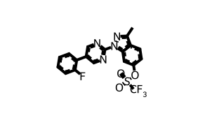 Cc1nn(-c2ncc(-c3ccccc3F)cn2)c2cc(OS(=O)(=O)C(F)(F)F)ccc12